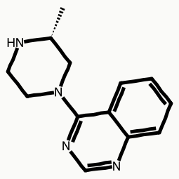 C[C@@H]1CN(c2ncnc3ccccc23)CCN1